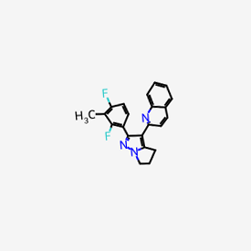 Cc1c(F)ccc(-c2nn3c(c2-c2ccc4ccccc4n2)CCC3)c1F